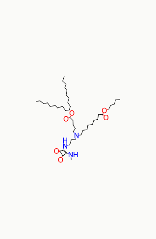 CCCCCCCCCC(CCCCCCCCC)OC(=O)CCCCN(CCCCCCCCC(=O)OCCCCC)CCCNc1c(NC)c(=O)c1=O